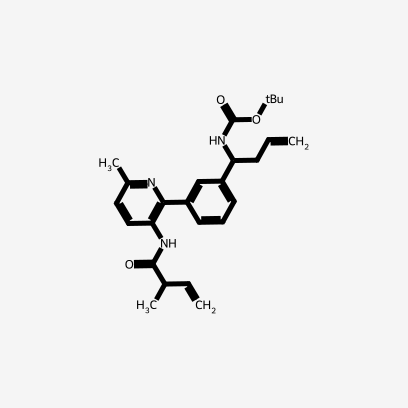 C=CCC(NC(=O)OC(C)(C)C)c1cccc(-c2nc(C)ccc2NC(=O)C(C)C=C)c1